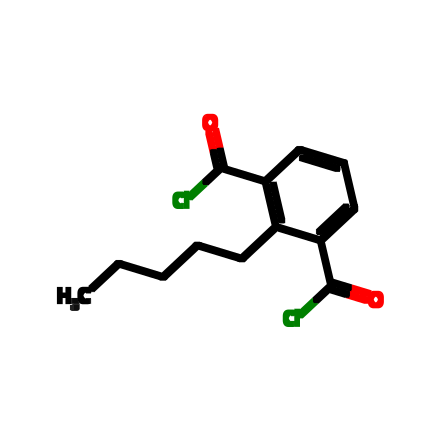 CCCCCc1c(C(=O)Cl)cccc1C(=O)Cl